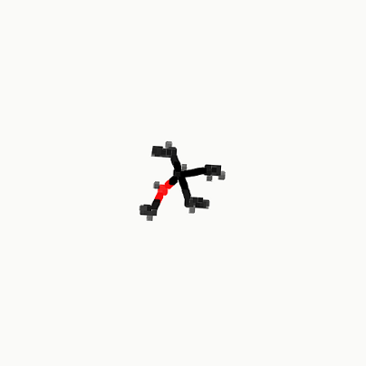 CO[Si]([SiH3])(OC)OC(C)(C)C